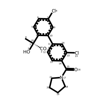 C[C@@](O)(C(=O)O)c1ccc(Cl)cc1-c1ccc(C(=O)N2CCCC2)c(Cl)c1